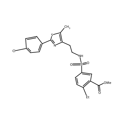 CCc1ccc(S(=O)(=O)NCCc2nc(-c3ccc(Cl)cc3)sc2C)cc1C(=O)OC